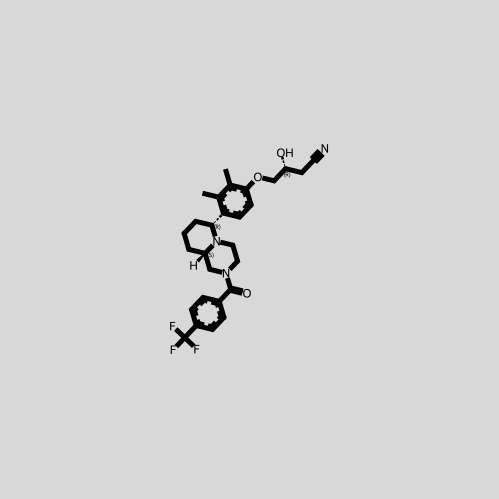 Cc1c(OC[C@H](O)CC#N)ccc([C@H]2CCC[C@H]3CN(C(=O)c4ccc(C(F)(F)F)cc4)CCN32)c1C